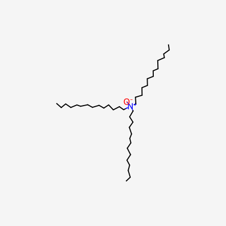 CCCCCCCCCCCCCC[N+]([O-])(CCCCCCCCCCCCCC)CCCCCCCCCCCCCC